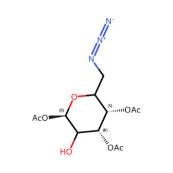 CC(=O)O[C@H]1OC(CN=[N+]=[N-])[C@H](OC(C)=O)[C@H](OC(C)=O)C1O